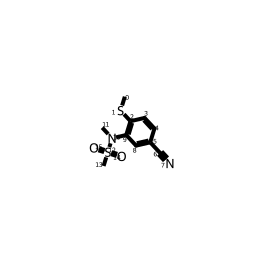 CSc1ccc(C#N)cc1N(C)S(C)(=O)=O